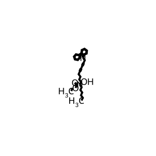 CCCCCCN(C(=O)OCC)C(O)CCCC#CC#CCn1c2ccccc2c2ccccc21